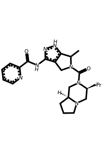 CC(C)[C@H]1CN2CCC[C@H]2CN1C(=O)N1Cc2c(NC(=O)c3ccccn3)n[nH]c2C1C